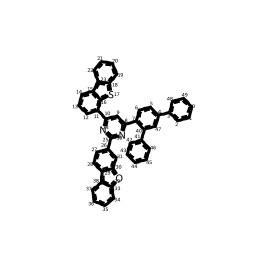 c1ccc(-c2ccc(-c3cc(-c4cccc5c4sc4ccccc45)nc(-c4ccc5c(c4)oc4ccccc45)n3)c(-c3ccccc3)c2)cc1